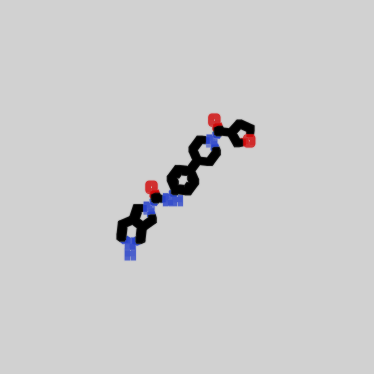 O=C(Nc1ccc(C2CCN(C(=O)C3CCOC3)CC2)cc1)N1C=C2C=CNC=C2C1